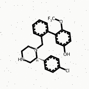 Oc1ccc(OC(F)(F)F)c(-c2ccccc2CN2CCNC[C@H]2c2ccc(Cl)cc2)c1